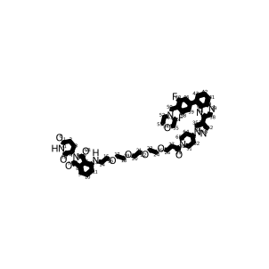 O=C1CCC(N2C(=O)c3cccc(NCCOCCOCCOCCOCCC(=O)N4CCC(n5cc(-c6cnc7cccc(-c8cc(F)c(CN9CCOCC9)c(F)c8)c7n6)cn5)CC4)c3C2=O)C(=O)N1